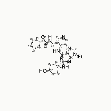 CCn1cnc2c(Nc3ccncc3CNS(=O)(=O)c3ccccc3)nc(NC3CCC(O)CC3)nc21